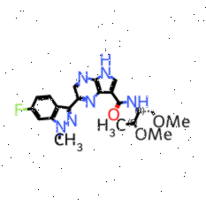 COC[C@@H](NC(=O)c1c[nH]c2ncc(-c3nn(C)c4cc(F)ccc34)nc12)[C@H](C)OC